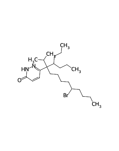 CCCCC(Br)CCCCC(c1ccc(=O)[nH]n1)(C(C)C)C(CCC)CCC